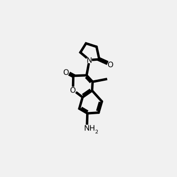 Cc1c(N2CCCC2=O)c(=O)oc2cc(N)ccc12